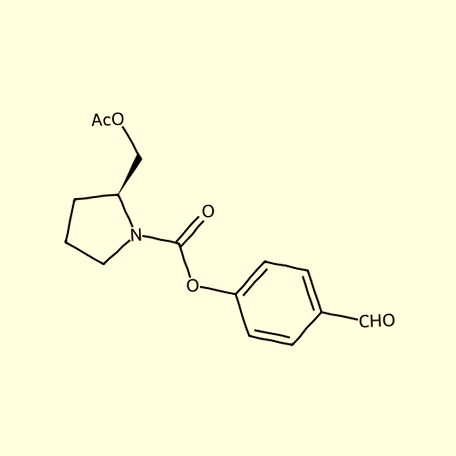 CC(=O)OC[C@@H]1CCCN1C(=O)Oc1ccc(C=O)cc1